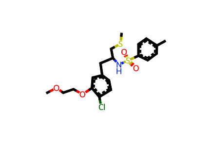 COCCOc1cc(CC(CSC)NS(=O)(=O)c2ccc(C)cc2)ccc1Cl